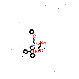 O=C(O)/C=C/C(=O)O.c1ccc(OCCCCN2CCC(C(c3ccccc3)c3ccccc3)CC2)cc1